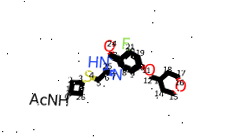 CC(=O)NC1CC(SCc2nc3cc(OCC4CCOCC4)cc(F)c3c(=O)[nH]2)C1